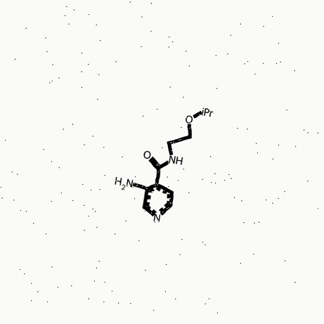 CC(C)OCCNC(=O)c1ccncc1N